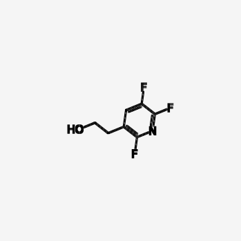 OCCc1cc(F)c(F)nc1F